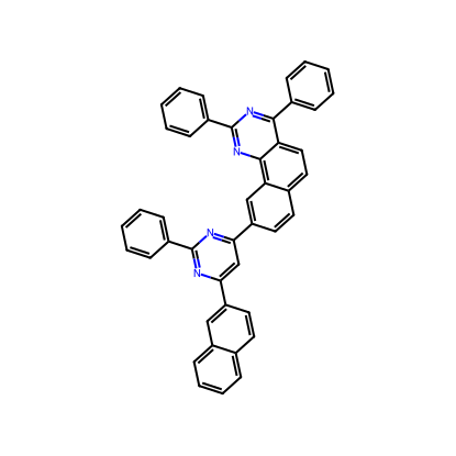 c1ccc(-c2nc(-c3ccc4ccccc4c3)cc(-c3ccc4ccc5c(-c6ccccc6)nc(-c6ccccc6)nc5c4c3)n2)cc1